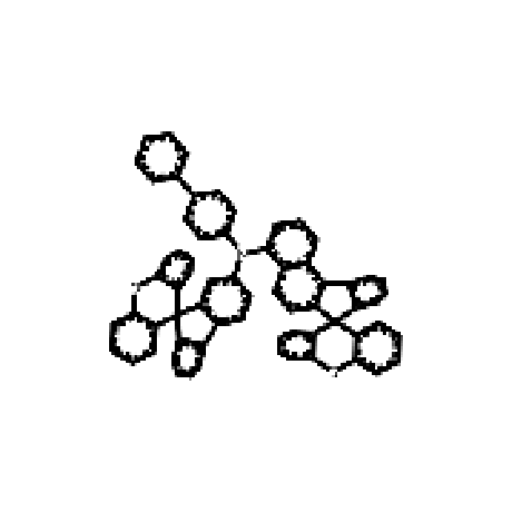 c1ccc(-c2ccc(N(c3ccc4c(c3)C3(c5ccccc5Oc5ccccc53)c3ccccc3-4)c3cccc4c5c(ccc34)C3(c4ccccc4Sc4ccccc43)c3ccccc3-5)cc2)cc1